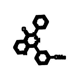 COc1cccc(-c2nn(-c3ccccc3)c(=O)c3cccnc23)c1